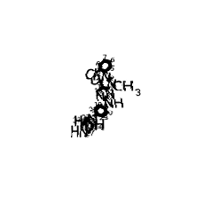 CN1CN(c2ccccc2Cl)C(=O)c2cnc(Nc3ccc(N4C[C@H]5C[C@H]4CN5)cc3)nc21